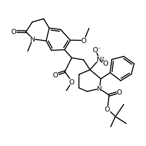 COC(=O)C(CC1([N+](=O)[O-])CCCN(C(=O)OC(C)(C)C)C1c1ccccc1)c1cc2c(cc1OC)CCC(=O)N2C